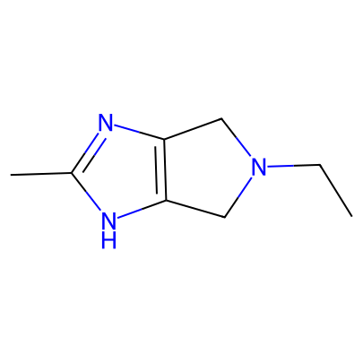 CCN1Cc2nc(C)[nH]c2C1